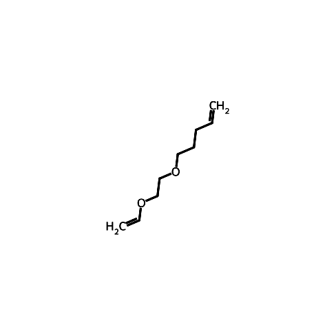 C=CCCCOCCOC=C